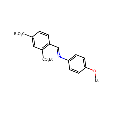 CCOC(=O)c1ccc(C=Nc2ccc(OCC)cc2)c(C(=O)OCC)c1